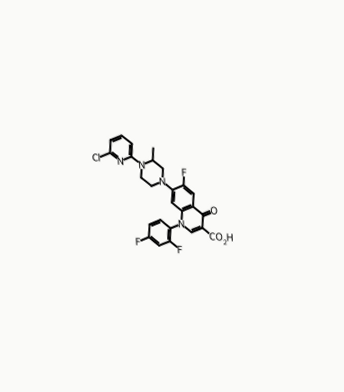 CC1CN(c2cc3c(cc2F)c(=O)c(C(=O)O)cn3-c2ccc(F)cc2F)CCN1c1cccc(Cl)n1